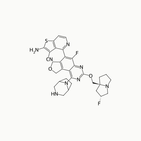 N#Cc1c(N)sc2ccnc(-c3c4c(c5c(N6C7CCC6CNC7)nc(OC[C@@]67CCCN6C[C@H](F)C7)nc5c3F)COC4)c12